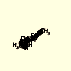 CN1CCN(C2CCN(c3c(F)cc(Nc4ncc(Cl)c(Nc5ccc6nccnc6c5N(C)S(C)(=O)=O)n4)cc3F)CC2)CC1